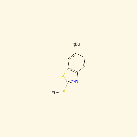 CCSc1nc2ccc(C(C)(C)C)cc2s1